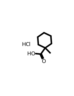 CC1(C(=O)O)CCCCC1.Cl